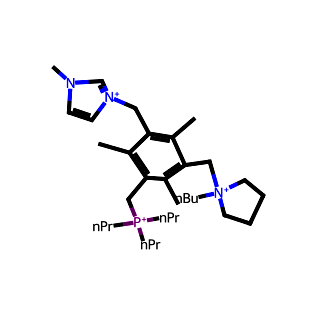 CCCC[N+]1(Cc2c(C)c(C[n+]3ccn(C)c3)c(C)c(C[P+](CCC)(CCC)CCC)c2C)CCCC1